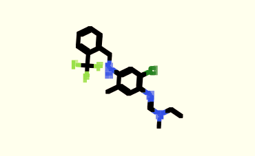 CCN(C)C=Nc1cc(C)c(NCc2ccccc2C(F)(F)F)cc1Cl